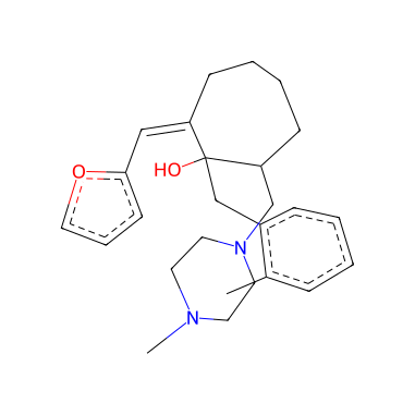 Cc1ccccc1CC1(O)/C(=C\c2ccco2)CCCCC1CN1CCN(C)CC1